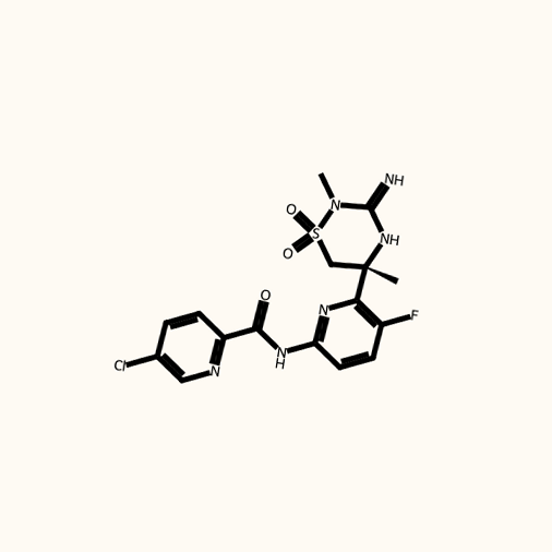 CN1C(=N)N[C@](C)(c2nc(NC(=O)c3ccc(Cl)cn3)ccc2F)CS1(=O)=O